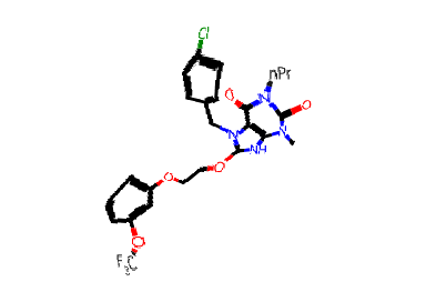 CCCn1c(=O)c2c(n(C)c1=O)NC(OCCOc1cccc(OC(F)(F)F)c1)N2Cc1ccc(Cl)cc1